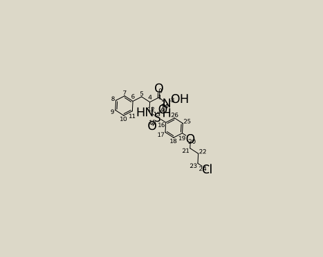 O=C(NO)C(Cc1ccccc1)NS(=O)(=O)c1ccc(OCCCCl)cc1